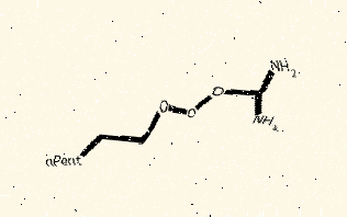 CCCCCCCOOOC(N)N